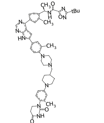 Cc1cc(-c2ncnc3[nH]c(-c4ccc(N5CCN(CC6CCN(c7ccc(N8CCC(=O)NC8=O)c(C)c7)CC6)CC5)c(C)c4)cc23)ccc1[C@@H](C)NC(=O)c1nc(C(C)(C)C)no1